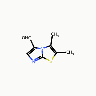 Cc1sc2ncc(C=O)n2c1C